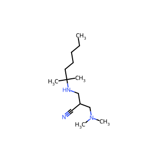 CCCCCC(C)(C)NCC(C#N)CN(C)C